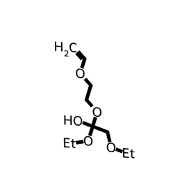 C=COCCOC(O)(COCC)OCC